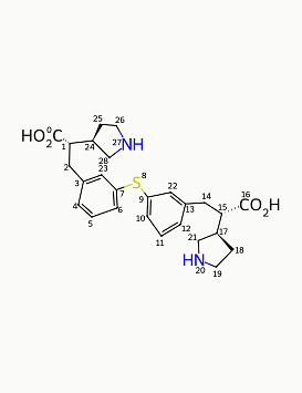 O=C(O)[C@@H](Cc1cccc(Sc2cccc(C[C@H](C(=O)O)[C@H]3CCNC3)c2)c1)[C@H]1CCNC1